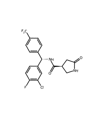 O=C1C[C@H](C(=O)N[C@@H](c2ccc(C(F)(F)F)cc2)c2ccc(F)c(Cl)c2)CN1